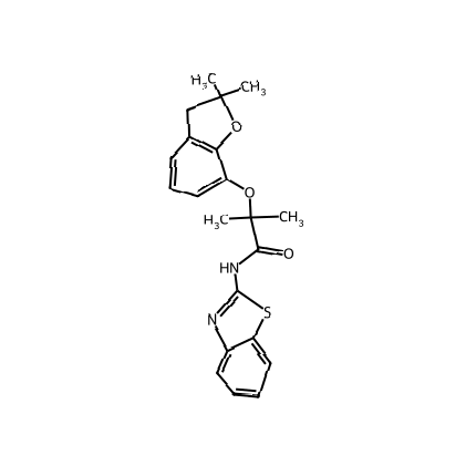 CC1(C)Cc2cccc(OC(C)(C)C(=O)Nc3nc4ccccc4s3)c2O1